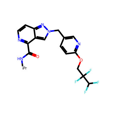 CC(C)NC(=O)c1nccc2nn(Cc3ccc(OCC(F)(F)C(F)F)nc3)cc12